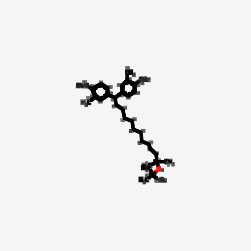 CCCC[Si](C)(C)O[Si](C)(C)CCCCCCCCCCC(c1ccc(OC)c(C)c1)c1ccc(OC(C)=O)c(C)c1